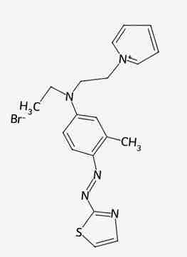 CCN(CC[n+]1ccccc1)c1ccc(N=Nc2nccs2)c(C)c1.[Br-]